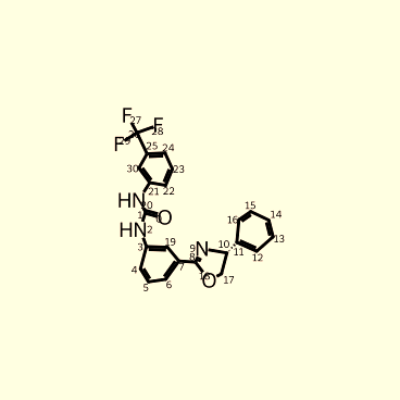 O=C(Nc1cccc(C2=N[C@H](c3ccccc3)CO2)c1)Nc1cccc(C(F)(F)F)c1